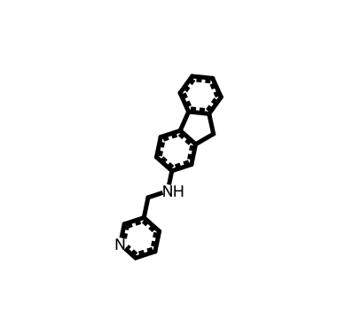 c1cncc(CNc2ccc3c(c2)Cc2ccccc2-3)c1